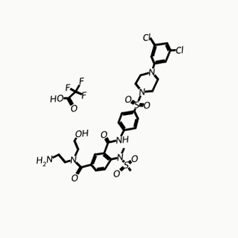 CN(c1ccc(C(=O)N(CCN)CCO)cc1C(=O)Nc1ccc(S(=O)(=O)N2CCN(c3cc(Cl)cc(Cl)c3)CC2)cc1)S(C)(=O)=O.O=C(O)C(F)(F)F